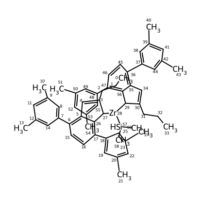 CCCC1=Cc2c(-c3cc(C)cc(C)c3)ccc(-c3cc(C)cc(C)c3)c2[CH]1[Zr]([CH]1C(CCC)=Cc2c(-c3cc(C)cc(C)c3)ccc(-c3cc(C)cc(C)c3)c21)[SiH](C)C